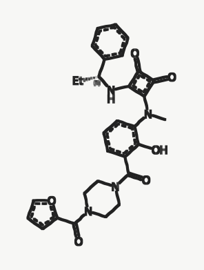 CC[C@@H](Nc1c(N(C)c2cccc(C(=O)N3CCN(C(=O)c4ccco4)CC3)c2O)c(=O)c1=O)c1ccccc1